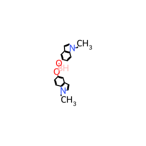 CCn1ccc2cc(OBOc3ccc4c(ccn4CC)c3)ccc21